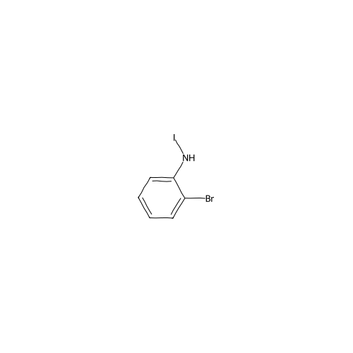 Brc1ccccc1NI